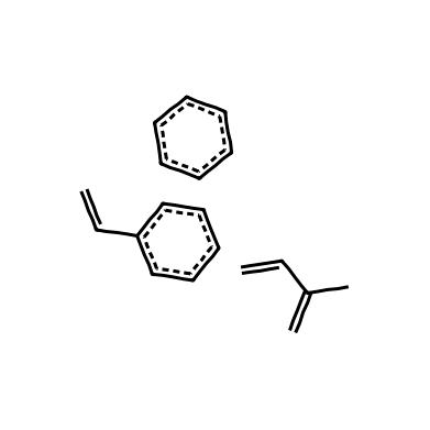 C=CC(=C)C.C=Cc1ccccc1.c1ccccc1